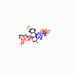 CC(C)CC(O)CC(O)/C=C/c1c(-c2ccc(F)cc2)nc(N(C)S(C)(=O)=O)nc1C(C)C